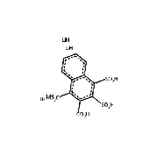 O=C(O)c1c(S(=O)(=O)O)c(S(=O)(=O)O)c2ccccc2c1C(=O)O.[LiH].[LiH].[LiH].[LiH]